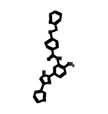 Cc1ccc(-c2nc(-c3cccnc3)c[nH]2)cc1NC(=O)c1ccc(OCc2ccccn2)cc1